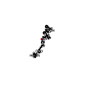 CCC(C)C(C(CC(=O)N1CCC[C@H]1C(OC)C(C)C(=O)NC(Cc1ccccc1)C(=O)O)OC)N(C)C(=O)C(/N=C(\N(C)C)N1CCN(C(=O)CCCCCN2C(=O)CC(SCC(NC(C)=O)C(=O)O)C2=O)CC1)C(C)C